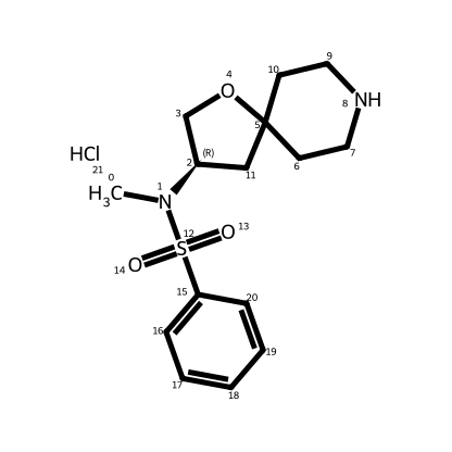 CN([C@H]1COC2(CCNCC2)C1)S(=O)(=O)c1ccccc1.Cl